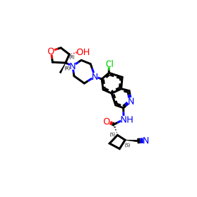 C[C@@]1(N2CCN(c3cc4cc(NC(=O)[C@H]5CC[C@@H]5C#N)ncc4cc3Cl)CC2)COC[C@@H]1O